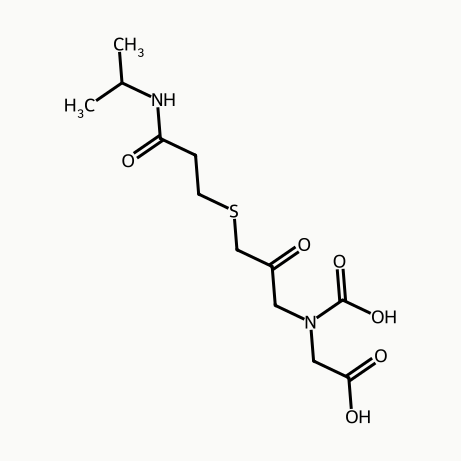 CC(C)NC(=O)CCSCC(=O)CN(CC(=O)O)C(=O)O